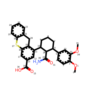 COc1ccc(C2CCCC(c3cc(C(=O)O)cc4c3Cc3ccccc3S4)C2C(N)=O)cc1OC